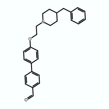 O=Cc1ccc(-c2ccc(OCCN3CCC(Cc4ccccc4)CC3)cc2)cc1